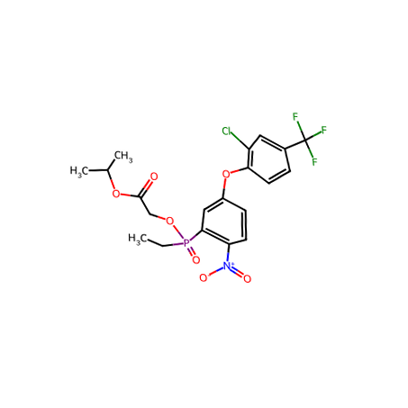 CCP(=O)(OCC(=O)OC(C)C)c1cc(Oc2ccc(C(F)(F)F)cc2Cl)ccc1[N+](=O)[O-]